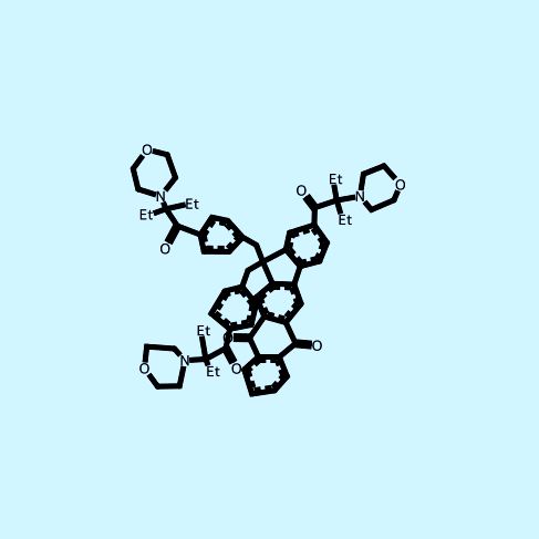 CCC(CC)(C(=O)c1ccc(CC2(Cc3ccc(C(=O)C(CC)(CC)N4CCOCC4)cc3)c3cc(C(=O)C(CC)(CC)N4CCOCC4)ccc3-c3cc4c(cc32)C(=O)c2ccccc2C4=O)cc1)N1CCOCC1